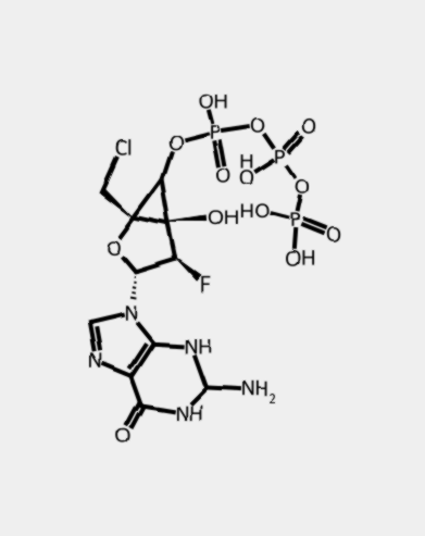 NC1NC(=O)c2ncn([C@@H]3O[C@]4(CCl)C(OP(=O)(O)OP(=O)(O)OP(=O)(O)O)[C@]4(O)[C@H]3F)c2N1